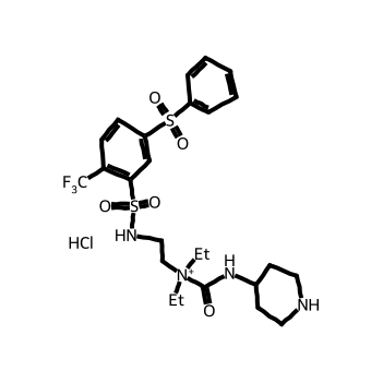 CC[N+](CC)(CCNS(=O)(=O)c1cc(S(=O)(=O)c2ccccc2)ccc1C(F)(F)F)C(=O)NC1CCNCC1.Cl